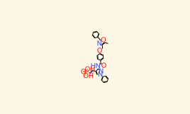 Cc1oc(-c2ccccc2)nc1COc1ccc(C(=O)Nc2nn(-c3ccccc3)cc2/C=C/P(=O)(O)O)cc1